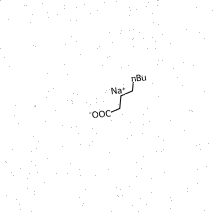 CCCCCCCC(=O)[O-].[Na+]